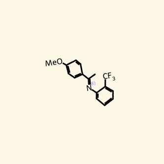 COc1ccc(/C(C)=N/c2ccccc2C(F)(F)F)cc1